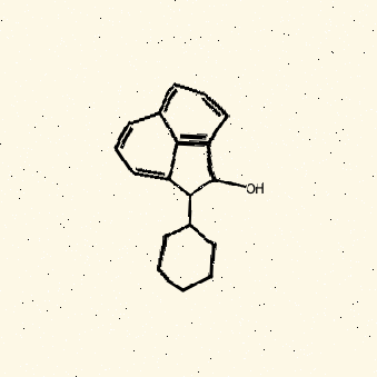 OC1c2cccc3cccc(c23)C1C1CCCCC1